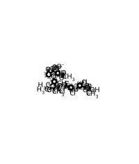 CCc1cccc(C)c1N(C(=O)CCl)C(C)COC.CS(=O)(=O)c1ccc(C(=O)C2C(=O)CCCC2=O)c([N+](=O)[O-])c1.C[C@H](OC(=O)c1cc(Oc2ccc(C(F)(F)F)cc2Cl)ccc1Cl)C(=O)O